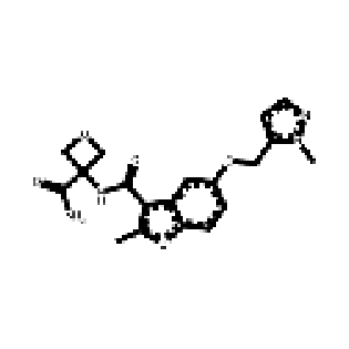 Cc1oc2ccc(OCc3ccnn3C)cc2c1C(=O)NC1(C(N)=O)COC1